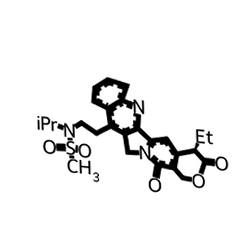 CC[C@H]1C(=O)OCc2c1cc1n(c2=O)Cc2c-1nc1ccccc1c2CCN(C(C)C)S(C)(=O)=O